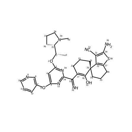 C[C@H](Oc1cc(Oc2cncnc2)nc(C(=N)C2=C(O)[C@@]3(CCC2)CCCc2sc(N)c(C#N)c23)n1)[C@@H]1CCCN1C